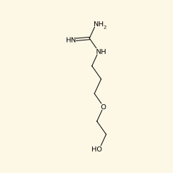 N=C(N)NCCCOCCO